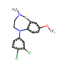 CN1CCN(c2ccc(Cl)c(Cl)c2)c2ccc(OC(F)(F)F)cc2C1